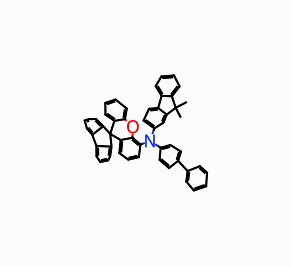 CC1(C)c2ccccc2-c2ccc(N(c3ccc(-c4ccccc4)cc3)c3cccc4c3Oc3ccccc3C43c4ccccc4-c4ccccc43)cc21